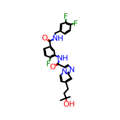 CC(C)(O)CCc1ccn2c(C(=O)Nc3cc(C(=O)NCc4ccc(F)c(F)c4)ccc3F)cnc2c1